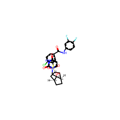 O=C(Nc1ccc(F)c(F)c1)c1ccc(Cl)c(S(=O)(=O)[C@@H]2C[C@H]3CC[C@@H](C2)[C@@]3(O)Cn2ccc(=O)[nH]c2=O)c1